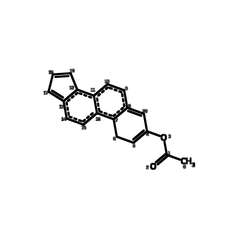 CC(=O)OC1=CCc2c(ccc3c4c(ccc23)=CC=C4)=C1